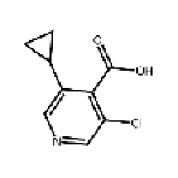 O=C(O)c1c(Cl)cncc1C1CC1